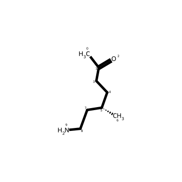 CC(=O)CC[C@H](C)CCN